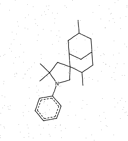 CC1CC2CC(C)C3(CN(c4ccccc4)C(C)(C)C3)C(C1)C2